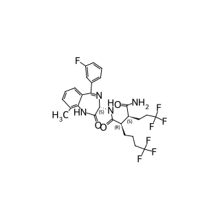 Cc1cccc2c1NC(=O)[C@@H](NC(=O)[C@H](CCCC(F)(F)F)[C@H](CCC(F)(F)F)C(N)=O)N=C2c1cccc(F)c1